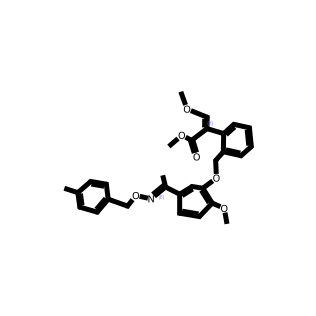 CO/C=C(\C(=O)OC)c1ccccc1COc1cc(/C(C)=N/OCc2ccc(C)cc2)ccc1OC